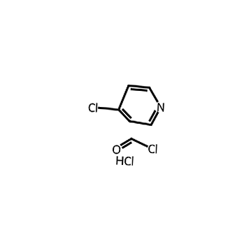 Cl.Clc1ccncc1.O=CCl